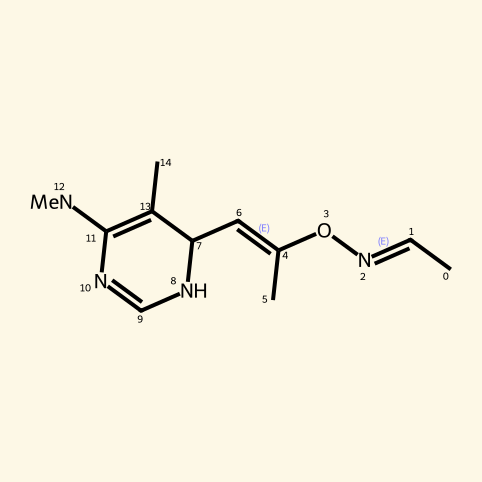 C/C=N/O/C(C)=C/C1NC=NC(NC)=C1C